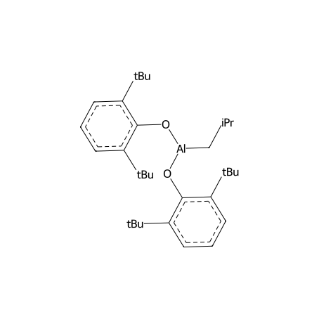 CC(C)[CH2][Al]([O]c1c(C(C)(C)C)cccc1C(C)(C)C)[O]c1c(C(C)(C)C)cccc1C(C)(C)C